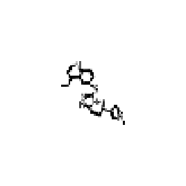 CCc1ccnc2ccc(Sc3nnc4ccc(-c5cnn(C)c5)nn34)cc12